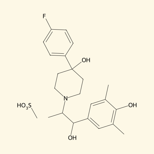 CS(=O)(=O)O.Cc1cc(C(O)C(C)N2CCC(O)(c3ccc(F)cc3)CC2)cc(C)c1O